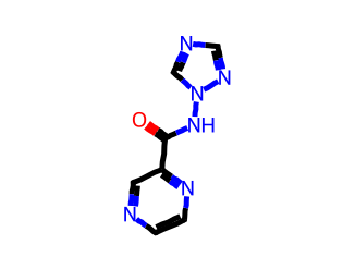 O=C(Nn1cncn1)c1cnccn1